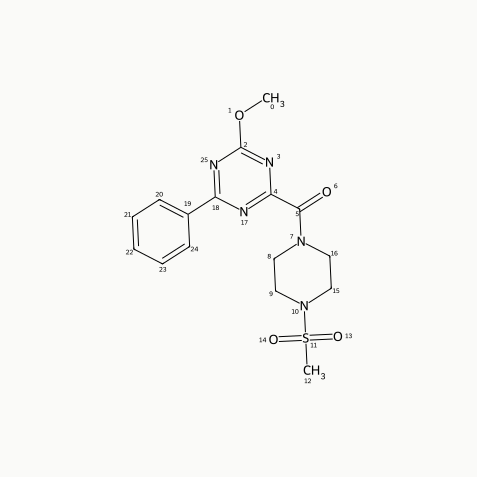 COc1nc(C(=O)N2CCN(S(C)(=O)=O)CC2)nc(-c2ccccc2)n1